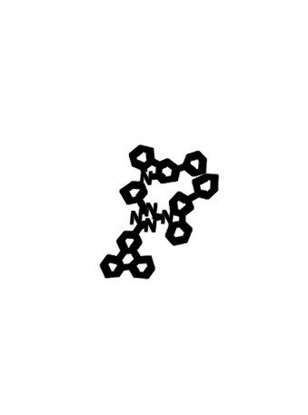 c1ccc(-c2ccc3c(c2)c2ccccc2n3-c2cccc(-c3nc(-c4ccc5c6ccccc6c6ccccc6c5c4)nc(-n4c5ccccc5c5cc(-c6ccccc6)ccc54)n3)c2)cc1